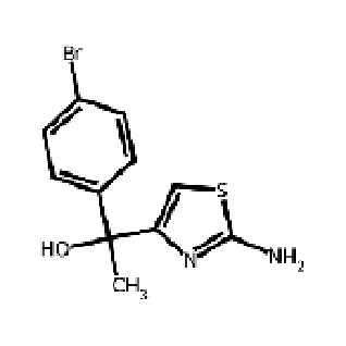 CC(O)(c1ccc(Br)cc1)c1csc(N)n1